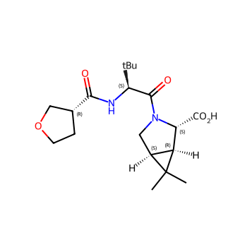 CC(C)(C)[C@H](NC(=O)[C@@H]1CCOC1)C(=O)N1C[C@H]2[C@@H]([C@H]1C(=O)O)C2(C)C